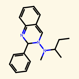 CCC(C)N(C)N1C=c2ccccc2=NC1c1ccccc1